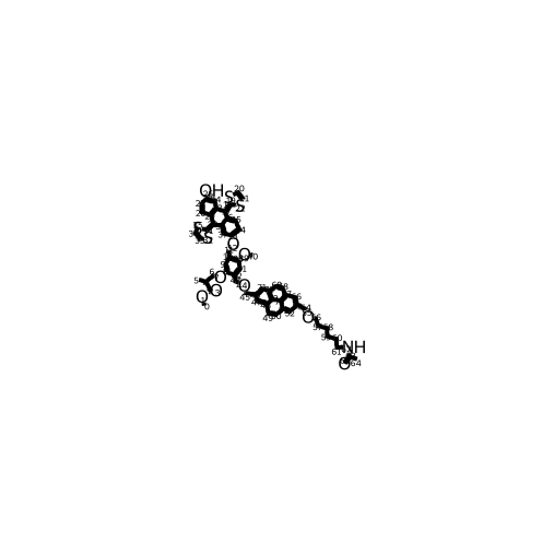 COC(=O)C(C)COc1cc(COc2ccc3c(=C4SC=CS4)c4cc(O)ccc4c(=C4SC=CS4)c3c2)c(OC)cc1COCc1cc2ccc3cc(COCCCCCCNC(C)=O)cc4ccc(c1)c2c34